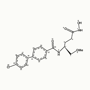 COC[C@H](CCC(=O)NO)NC(=O)c1ccc(-c2ccc(Cl)cc2)cc1